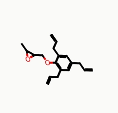 C=CCc1cc(CC=C)c(OCC2OC2C)c(CC=C)c1